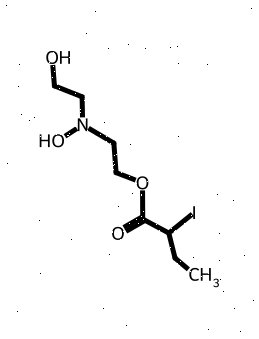 CCC(I)C(=O)OCCN(O)CCO